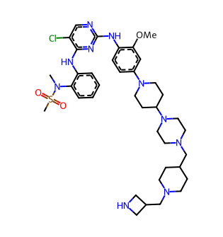 COc1cc(N2CCC(N3CCN(CC4CCN(CC5CNC5)CC4)CC3)CC2)ccc1Nc1ncc(Cl)c(Nc2ccccc2N(C)S(C)(=O)=O)n1